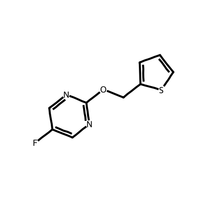 Fc1cnc(OCc2cccs2)nc1